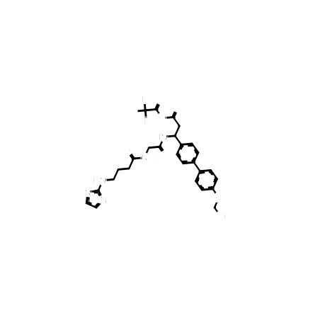 CCOc1ccc(-c2ccc(C(CC(=O)OC(=O)C(F)(F)F)NC(=O)CNC(=O)CCCNc3ncc[nH]3)cc2)cc1